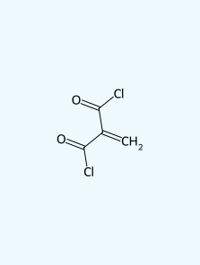 C=C(C(=O)Cl)C(=O)Cl